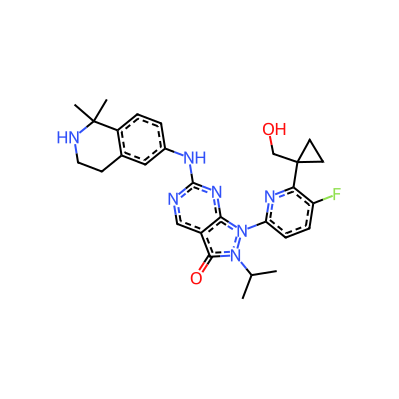 CC(C)n1c(=O)c2cnc(Nc3ccc4c(c3)CCNC4(C)C)nc2n1-c1ccc(F)c(C2(CO)CC2)n1